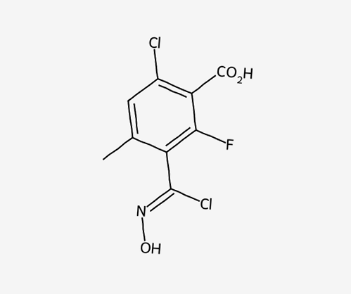 Cc1cc(Cl)c(C(=O)O)c(F)c1C(Cl)=NO